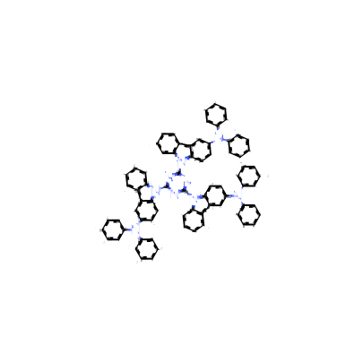 c1ccc(N(c2ccccc2)c2ccc3c(c2)c2ccccc2n3-c2nc(-n3c4ccccc4c4cc(N(c5ccccc5)c5ccccc5)ccc43)nc(-n3c4ccccc4c4cc(N(c5ccccc5)c5ccccc5)ccc43)n2)cc1